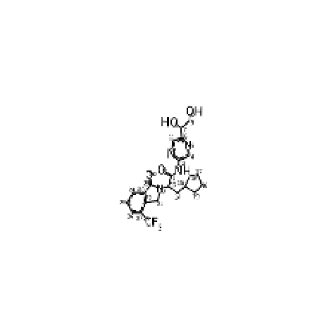 O=C(Nc1cnc(C(O)CO)cn1)C(CC1CCCC1)N1Cc2c(cccc2C(F)(F)F)C1=O